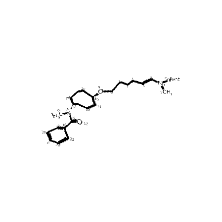 CCCCCN(C)CCCCCCO[C@H]1CC[C@H](N(C)C(=O)c2ccccc2)CC1